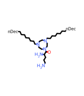 CCCCCCCCCCCCCCCCCCN1CCN(CCCCCCCCCCCCCCCCCC)CCN(C(=O)C(N)CCCN)CC1